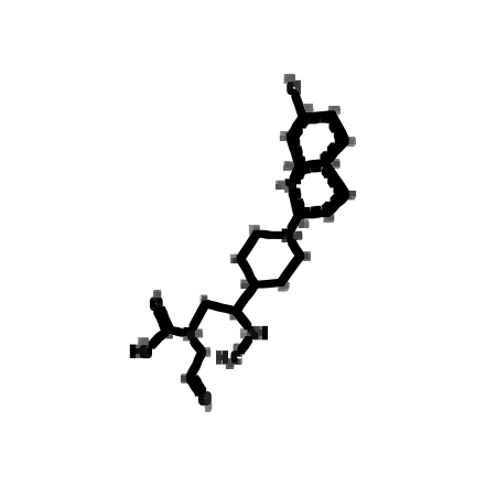 CNC(CN(CC=O)C(=O)O)C1CCN(c2ccc3ccc(Cl)cc3n2)CC1